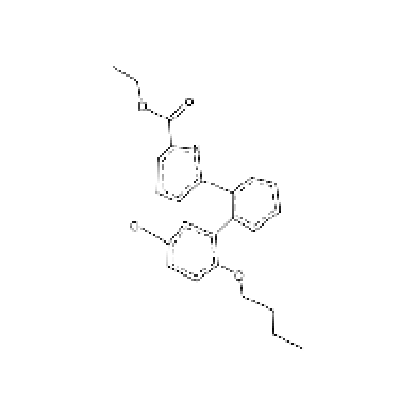 CCCCOc1ccc(Cl)cc1-c1ccccc1-c1cccc(C(=O)OCC)n1